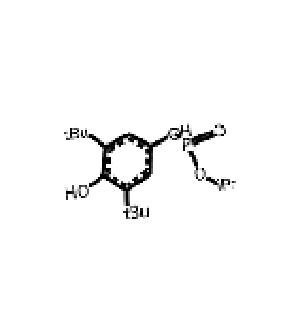 CC(C)O[PH](=O)Oc1cc(C(C)(C)C)c(O)c(C(C)(C)C)c1